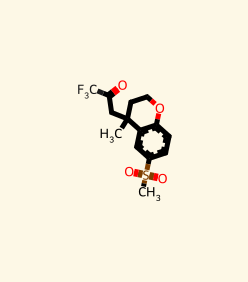 CC1(CC(=O)C(F)(F)F)CCOc2ccc(S(C)(=O)=O)cc21